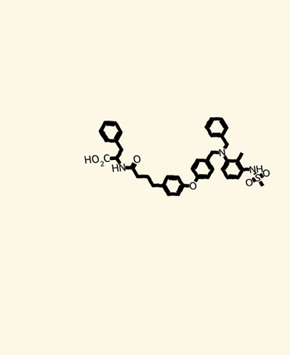 Cc1c(NS(C)(=O)=O)cccc1N(Cc1ccccc1)Cc1ccc(Oc2ccc(CCCC(=O)NC(Cc3ccccc3)C(=O)O)cc2)cc1